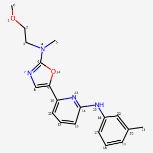 COCCN(C)c1ncc(-c2cccc(Nc3cccc(C)c3)n2)o1